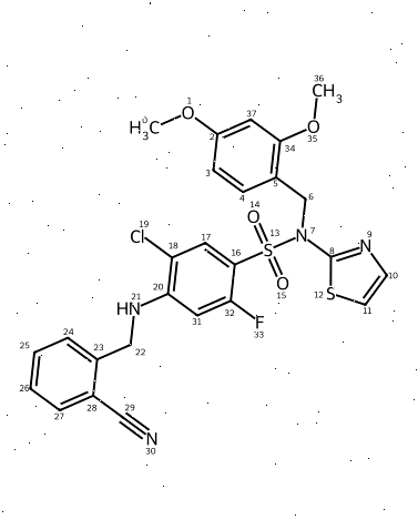 COc1ccc(CN(c2nccs2)S(=O)(=O)c2cc(Cl)c(NCc3ccccc3C#N)cc2F)c(OC)c1